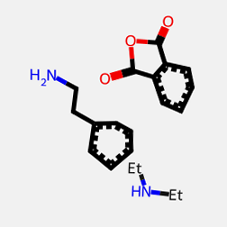 CCNCC.NCCc1ccccc1.O=C1OC(=O)c2ccccc21